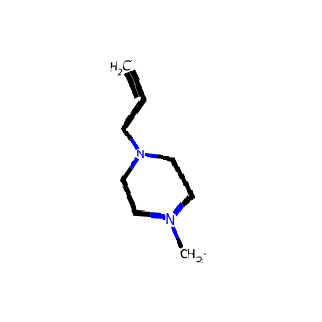 [CH2]N1CCN(CC=C)CC1